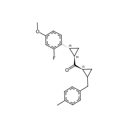 COc1ccc([C@@H]2C[C@H]2C(=O)[C@H]2CC2Cc2ccc(C)cc2)c(F)c1